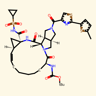 Cc1ccc(-c2nc(C(=O)N3C[C@H]4CN5C(=O)[C@@H](NC(=O)OC(C)(C)C)CCCCC/C=C\[C@H]6C[C@@]6(C(=O)NS(=O)(=O)C6CC6)NC(=O)[C@@H]5[C@H]4C3)cs2)s1